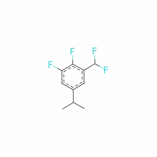 CC(C)c1cc(F)c(F)c(C(F)F)c1